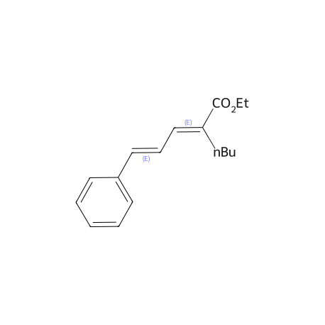 CCCC/C(=C\C=C\c1ccccc1)C(=O)OCC